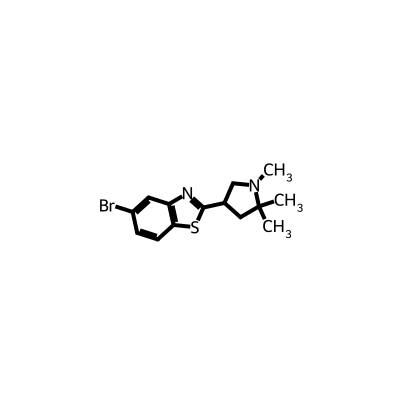 CN1CC(c2nc3cc(Br)ccc3s2)CC1(C)C